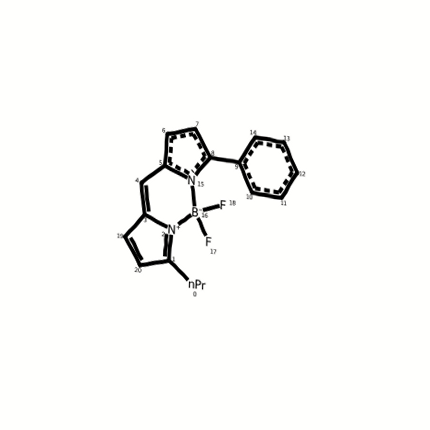 CCCC1=[N+]2C(=Cc3ccc(-c4ccccc4)n3[B-]2(F)F)C=C1